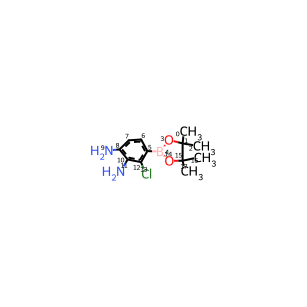 CC1(C)OB(c2ccc(N)c(N)c2Cl)OC1(C)C